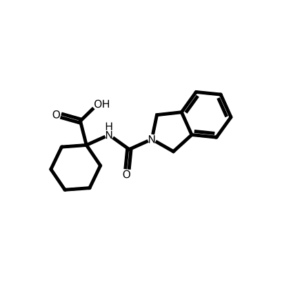 O=C(NC1(C(=O)O)CCCCC1)N1Cc2ccccc2C1